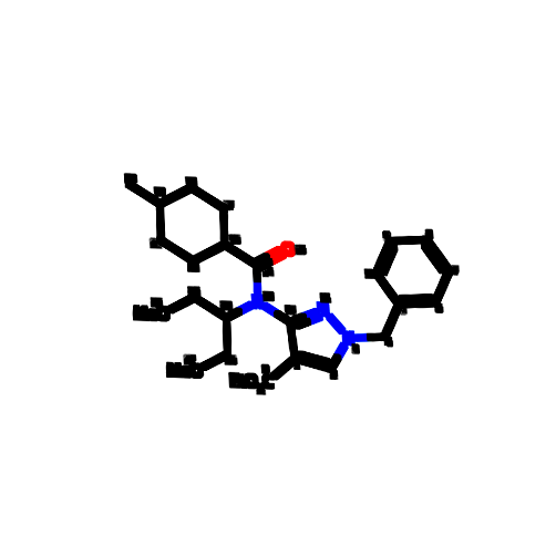 CCOC(=O)c1cn(Cc2ccccc2)nc1N(C(=O)C1CCC(C)CC1)C(COC)COC